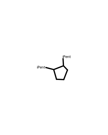 CCCC(C)[C]1CCCC1C(C)CCC